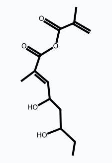 C=C(C)C(=O)OC(=O)C(C)=CC(O)CC(O)CC